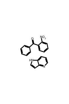 O=C(c1ccccc1)c1ccccc1[N+](=O)[O-].c1cnc2cc[nH]c2c1